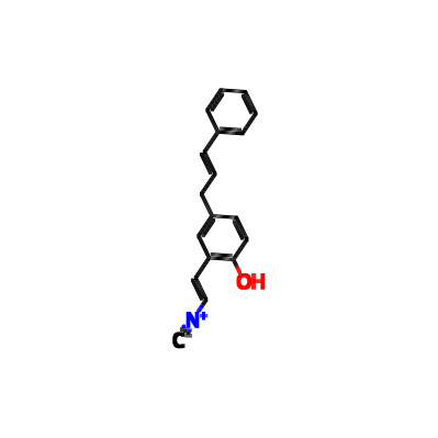 [C-]#[N+]/C=C/c1cc(CC=Cc2ccccc2)ccc1O